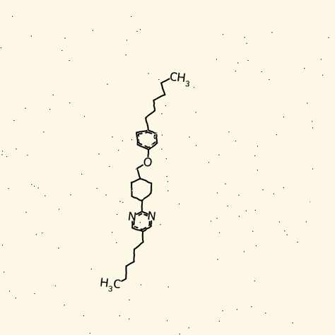 CCCCCCc1ccc(OCC2CCC(c3ncc(CCCCCC)cn3)CC2)cc1